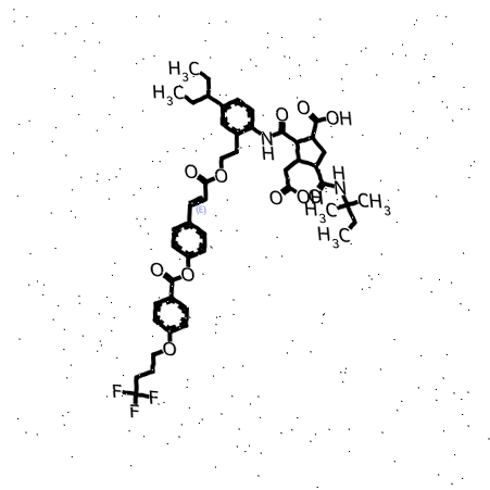 CCC(CC)c1ccc(NC(=O)C2C(C(=O)O)CC(C(=O)NC(C)(C)CC)C2CC(=O)O)c(CCOC(=O)/C=C/c2ccc(OC(=O)c3ccc(OCCCC(F)(F)F)cc3)cc2)c1